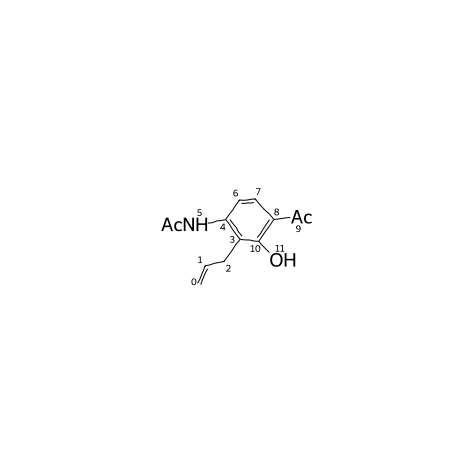 C=CCc1c(NC(C)=O)ccc(C(C)=O)c1O